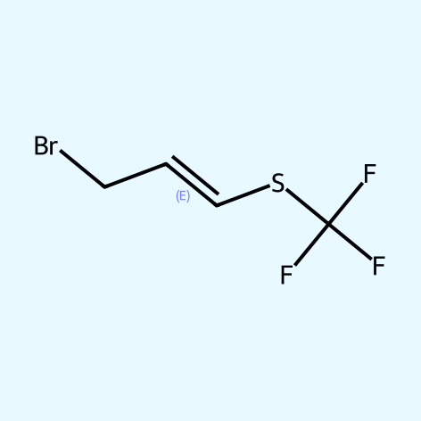 FC(F)(F)S/C=C/CBr